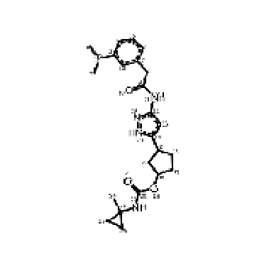 CP(C)c1cccc(CC(=O)Nc2cc(C3CCC(OC(=O)NC4(C)CC4)C3)[nH]n2)c1